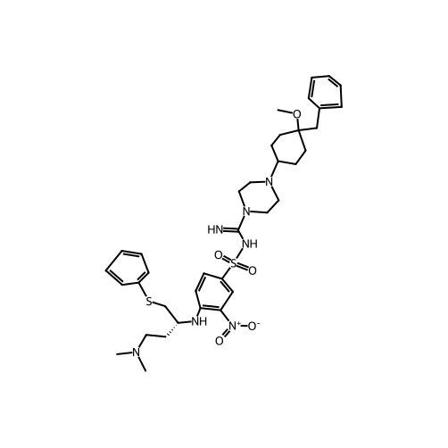 COC1(Cc2ccccc2)CCC(N2CCN(C(=N)NS(=O)(=O)c3ccc(N[C@H](CCN(C)C)CSc4ccccc4)c([N+](=O)[O-])c3)CC2)CC1